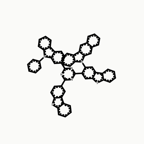 c1ccc(-n2c3ccccc3c3ccc(-c4nc(-c5ccc6sc7ccccc7c6c5)nc(-c5cc6sc7ccccc7c6cc5-n5c6ccccc6c6cc7ccccc7cc65)n4)cc32)cc1